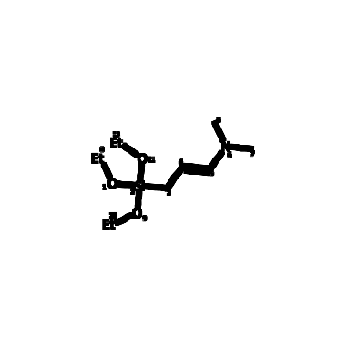 CCO[Si](C/C=C/N(C)C)(OCC)OCC